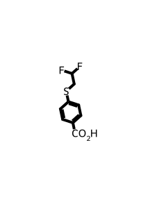 O=C(O)c1ccc(SCC(F)F)cc1